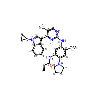 C=CC(=O)Nc1cc(Nc2ncc(C#N)c(-c3cn(C4CC4)c4ccccc34)n2)c(OC)cc1N1CCCC1